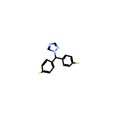 Fc1ccc(C(c2ccc(F)cc2)n2cncn2)cc1